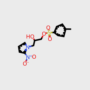 Cc1ccc(S(=O)(=O)OCC(O)Cn2cccc2[N+](=O)[O-])cc1